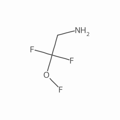 NCC(F)(F)OF